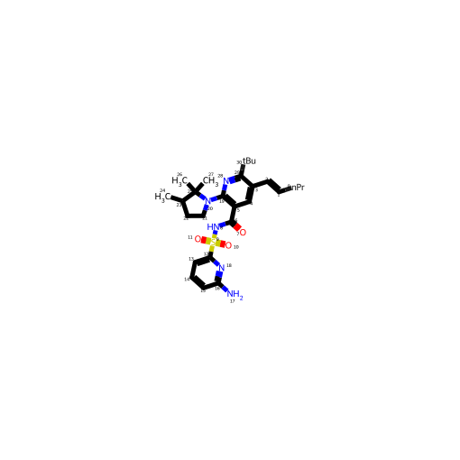 CCC/C=C/c1cc(C(=O)NS(=O)(=O)c2cccc(N)n2)c(N2CCC(C)C2(C)C)nc1C(C)(C)C